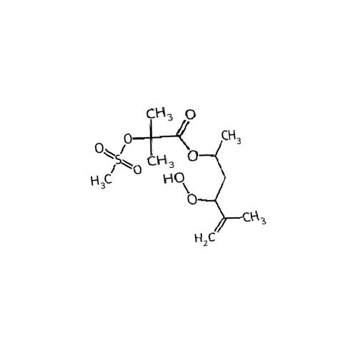 C=C(C)C(CC(C)OC(=O)C(C)(C)OS(C)(=O)=O)OO